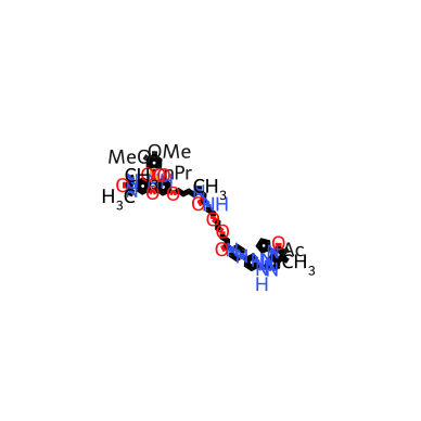 CCCOc1cc(OCCCCN(C)CC(=O)NCCOCCOCCC(=O)N2CCN(c3ccc(Nc4ncc5c(C)c(C(C)=O)c(=O)n(C6CCCC6)c5n4)nc3)CC2)cc(Oc2cc3c(cc2NS(=O)(=O)c2ccc(OC)c(OC)c2)n(C)c(=O)n3C)c1